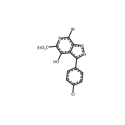 CCOC(=O)c1nc(Br)c2snc(-c3ccc(Cl)cc3)c2c1O